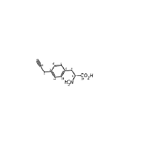 C#CCc1ccc(CC(N)C(=O)O)cc1